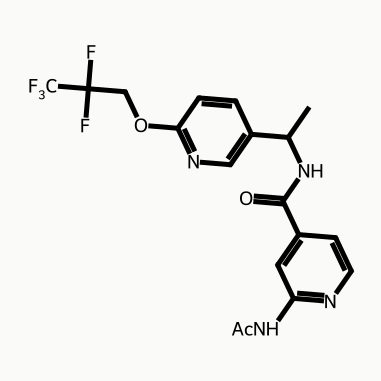 CC(=O)Nc1cc(C(=O)NC(C)c2ccc(OCC(F)(F)C(F)(F)F)nc2)ccn1